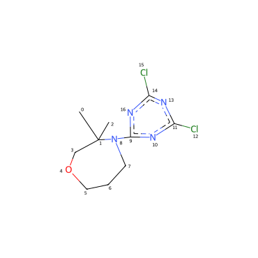 CC1(C)COCCCN1c1nc(Cl)nc(Cl)n1